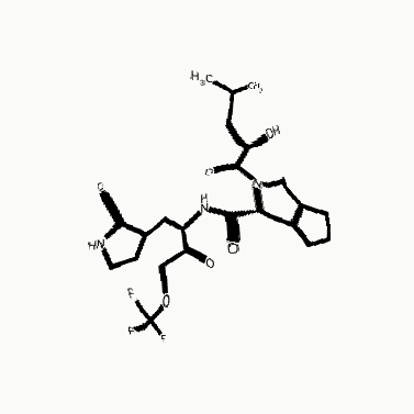 CC(C)CC(O)C(=O)N1CC2CCCC2[C@H]1C(=O)NC(CC1CCNC1=O)C(=O)COC(F)(F)F